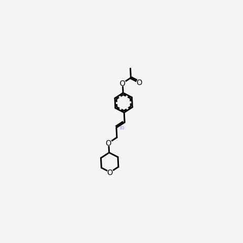 CC(=O)Oc1ccc(/C=C/COC2CCOCC2)cc1